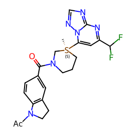 CC(=O)N1CCc2cc(C(=O)N3CCC[S@](C)(c4cc(C(F)F)nc5ncnn45)C3)ccc21